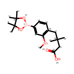 COc1cc(B2OC(C)(C)C(C)(C)O2)ccc1CC(C)(C)CC(=O)O